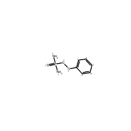 NP(N)(=O)OOc1ccccc1